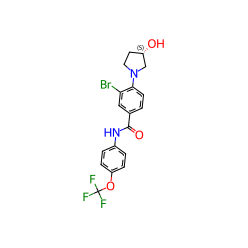 O=C(Nc1ccc(OC(F)(F)F)cc1)c1ccc(N2CC[C@H](O)C2)c(Br)c1